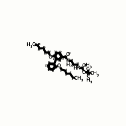 CCCCCCOc1ccccc1-c1cc(C(=O)NCCCNC(=O)OC(C)(C)C)ccc1OCCCCCC